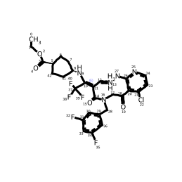 CCOC(=O)[C@H]1CC[C@H](N/C(=C(\C=N)C(=O)N(CC(=O)c2c(Cl)ccnc2N)Cc2cc(F)cc(F)c2)C(F)(F)F)CC1